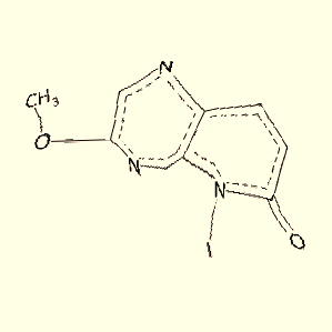 COc1cnc2ccc(=O)n(I)c2n1